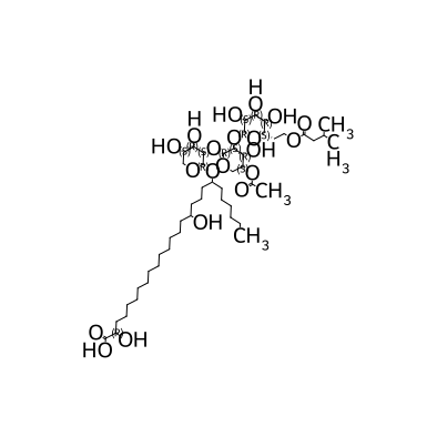 CCCCCCC(CCCC(O)CCCCCCCCCCCCC[C@@H](O)C(=O)O)O[C@H]1OC[C@H](O)[C@@H](O)[C@@H]1O[C@H]1OC[C@H](OC(C)=O)[C@@H](O)[C@@H]1O[C@H]1O[C@@H](CCOC(=O)CC(C)C)[C@H](O)[C@@H](O)[C@@H]1O